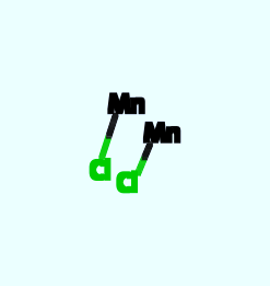 [Cl][Mn].[Cl][Mn]